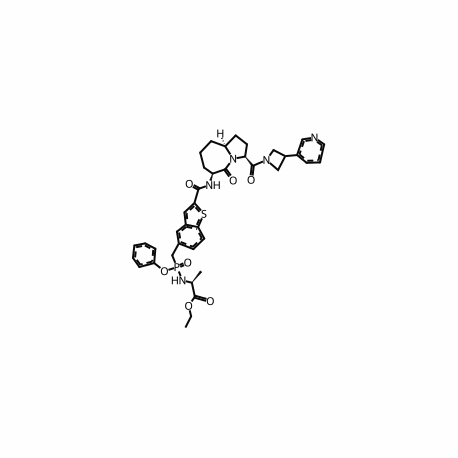 CCOC(=O)[C@H](C)NP(=O)(Cc1ccc2sc(C(=O)N[C@H]3CCC[C@H]4CC[C@@H](C(=O)N5CC(c6cccnc6)C5)N4C3=O)cc2c1)Oc1ccccc1